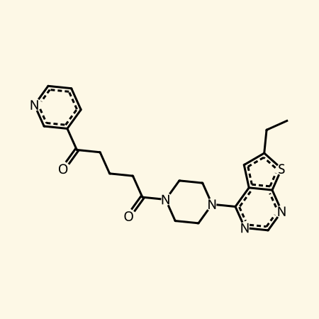 CCc1cc2c(N3CCN(C(=O)CCCC(=O)c4cccnc4)CC3)ncnc2s1